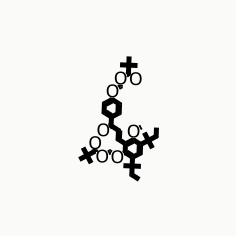 CCC(C)(C)c1cc(C(C)(C)CC)c(OCOC(=O)C(C)(C)C)c(/C=C/C(=O)c2ccc(OCOC(=O)C(C)(C)C)cc2)c1OC